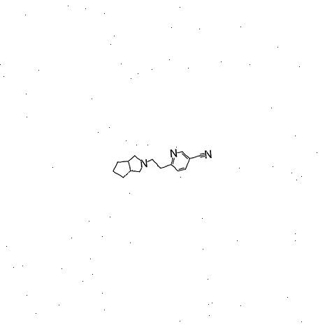 N#Cc1ccc(CCN2CC3CCCC3C2)nc1